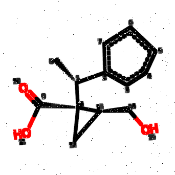 C[C@H](c1ccccc1)[C@]1(C(=O)O)C[C@@H]1CO